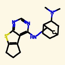 CN(C)C1CC2CCC1C(Nc1ncnc3sc4c(c13)CCC4)C2